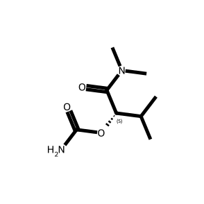 CC(C)[C@H](OC(N)=O)C(=O)N(C)C